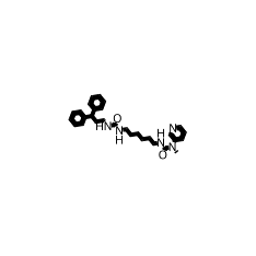 CN(C(=O)NCCCCCCNC(=O)NCCC(c1ccccc1)c1ccccc1)c1cccnc1